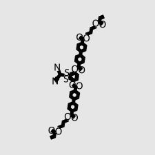 C=CC(=O)OCCCCOC(=O)C1CCC(C2CCC(C(=O)Oc3ccc(OC(=O)C4CCC(C5CCC(C(=O)OCCCCOC(=O)C=C)CC5)CC4)c4c3SC(C(C#N)C#N)S4)CC2)CC1